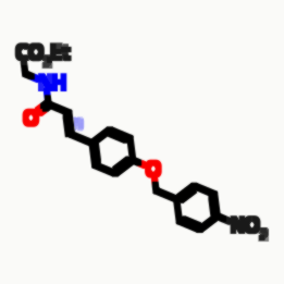 CCOC(=O)CNC(=O)/C=C/c1ccc(OCc2ccc([N+](=O)[O-])cc2)cc1